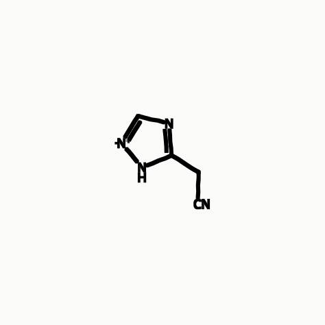 N#CCC1=NC=[N+]N1